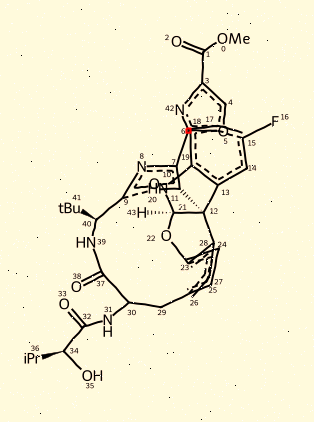 COC(=O)c1coc(-c2nc3oc2[C@@]24c5cc(F)ccc5N[C@@H]2Oc2ccc(cc24)CC(NC(=O)[C@@H](O)C(C)C)C(=O)N[C@H]3C(C)(C)C)n1